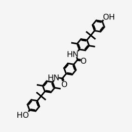 Cc1cc(C(C)(C)c2ccc(O)cc2)c(C)cc1NC(=O)c1ccc(C(=O)Nc2cc(C)c(C(C)(C)c3ccc(O)cc3)cc2C)cc1